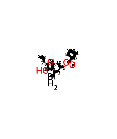 BCCC[C@H](COC(=O)c1ccccc1)C[C@@H]1C[C@@H](O)[C@H](CC=C)O1